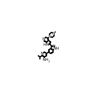 CC(C)c1ncc(-c2ccc3[nH]nc(-c4cc5c(N6CCN(C)CC6)cncc5[nH]4)c3c2)cc1N